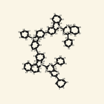 c1ccc(-c2cc3nc(-n4c5ccc(-c6ccc7c(c6)c6cc(-c8ccc9c(c8)c8ccccc8n9-c8nc(-c9ccccc9)c9ccccc9n8)ccc6n7-c6ccccc6)cc5c5c6ccccc6ccc54)nc(-c4ccccc4)c3s2)cc1